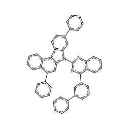 c1ccc(-c2cccc(-c3nc(-n4c5cc(-c6ccccc6)ccc5c5c6ccccc6c(-c6ccccc6)cc54)nc4ccccc34)c2)cc1